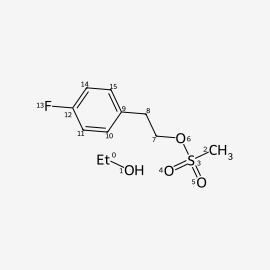 CCO.CS(=O)(=O)OCCc1ccc(F)cc1